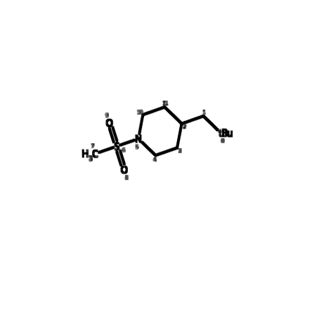 CC(C)(C)CC1CCN(S(C)(=O)=O)CC1